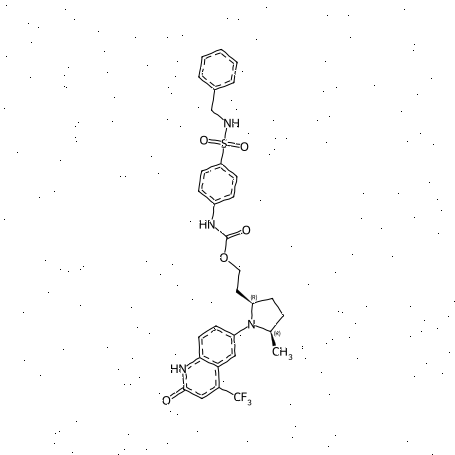 C[C@@H]1CC[C@H](CCOC(=O)Nc2ccc(S(=O)(=O)NCc3ccccc3)cc2)N1c1ccc2[nH]c(=O)cc(C(F)(F)F)c2c1